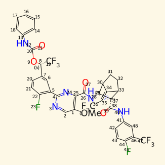 COc1cnc(-c2cc([C@H](OC(=O)Nc3ccccc3)C(F)(F)F)ccc2F)nc1C(=O)N[C@@H]1C2CCC(/C2=C/C(F)(F)F)[C@@H]1C(=O)Nc1ccc(F)c(C(F)(F)F)c1